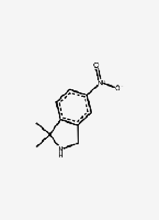 CC1(C)NCc2cc([N+](=O)[O-])ccc21